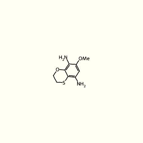 COc1cc(N)c2c(c1N)OCCS2